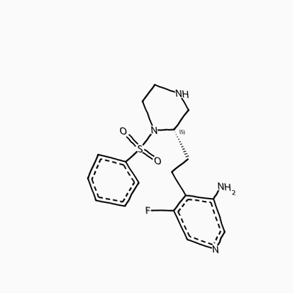 Nc1cncc(F)c1CC[C@H]1CNCCN1S(=O)(=O)c1ccccc1